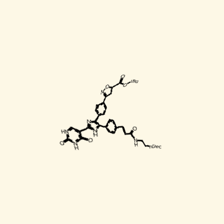 CCCCCCCCCCCCNC(=O)/C=C/c1ccc(-c2[nH]c(-c3c[nH]c(=O)[nH]c3=O)nc2-c2ccc(C3=NOC(C(=O)OC(C)(C)C)C3)cc2)cc1